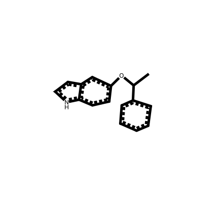 CC(Oc1ccc2[nH][c]cc2c1)c1ccccc1